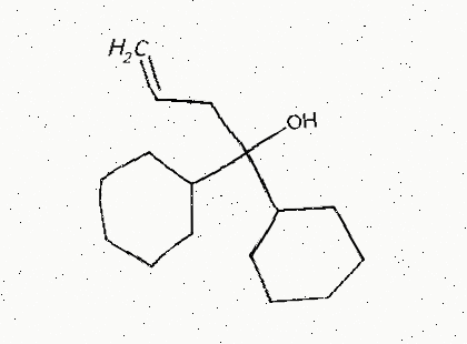 C=CCC(O)(C1CCCCC1)C1CCCCC1